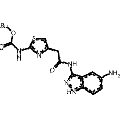 CC(C)(C)OC(=O)Nc1nc(CC(=O)Nc2n[nH]c3ccc(N)cc23)cs1